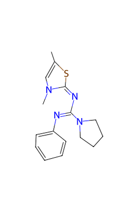 Cc1cn(C)/c(=N\C(=N\c2ccccc2)N2CCCC2)s1